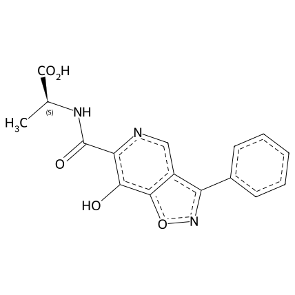 C[C@H](NC(=O)c1ncc2c(-c3ccccc3)noc2c1O)C(=O)O